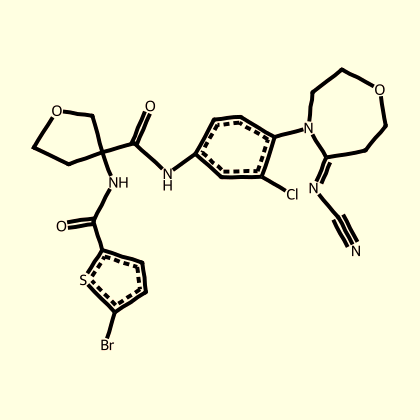 N#C/N=C1\CCOCCN1c1ccc(NC(=O)C2(NC(=O)c3ccc(Br)s3)CCOC2)cc1Cl